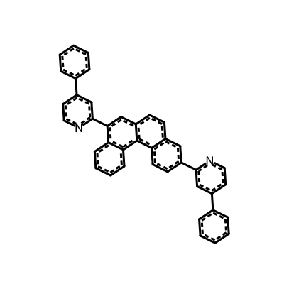 c1ccc(-c2ccnc(-c3ccc4c(ccc5cc(-c6cc(-c7ccccc7)ccn6)c6ccccc6c54)c3)c2)cc1